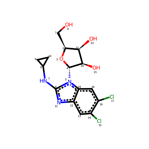 OC[C@@H]1O[C@@H](n2c(NC3CC3)nc3cc(Cl)c(Cl)cc32)[C@H](O)[C@@H]1O